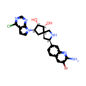 Nc1nc2cc([C@H]3C[C@@]4(CN3)C[C@@H](n3ccc5c(Cl)ncnc53)[C@H](O)[C@@H]4O)ccc2cc1Br